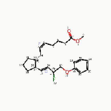 COC(=O)CCC/C=C\C[C@H]1CCC[C@@H]1/C=C/[C@H](F)COc1ccccc1